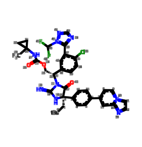 CC(C)(C)C[C@]1(c2ccc(-c3ccn4ccnc4c3)cc2)NC(=N)N([C@H](COC(=O)NC2(C(F)(F)F)CC2)c2ccc(Cl)c(-c3ncnn3C(F)F)c2)C1=O